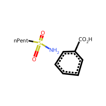 CCCCCS(N)(=O)=O.O=C(O)c1ccccc1